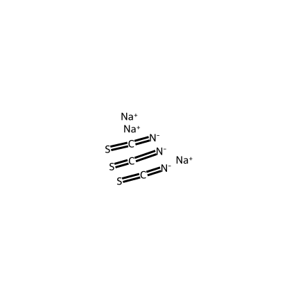 [N-]=C=S.[N-]=C=S.[N-]=C=S.[Na+].[Na+].[Na+]